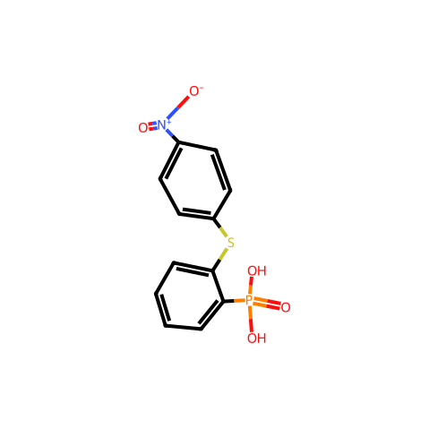 O=[N+]([O-])c1ccc(Sc2ccccc2P(=O)(O)O)cc1